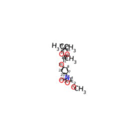 COC[C@H]1CN(c2ccc(OCCC3(C)OCC(C)(C)CO3)cc2)C(=O)O1